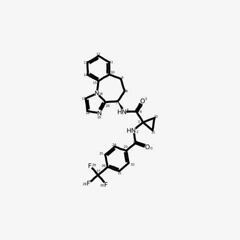 O=C(NC1(C(=O)N[C@@H]2CCc3ccccc3-n3ccnc32)CC1)c1ccc(C(F)(F)F)cc1